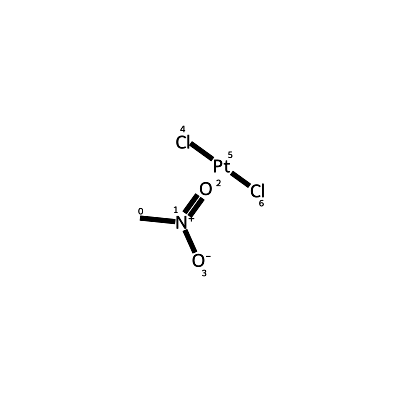 C[N+](=O)[O-].[Cl][Pt][Cl]